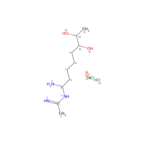 CC(=N)NC(N)CCCCC(O)C(C)O.Cl.Cl.O